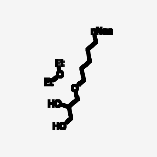 CCCCCCCCCCCCCCOCC(O)CO.CCOCC